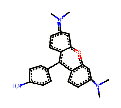 CN(C)c1ccc2c(-c3ccc(N)cc3)c3ccc(=[N+](C)C)cc-3oc2c1